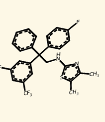 Cc1nc(NCC(c2ccccc2)(c2ccc(F)cc2)c2cc(F)cc(C(F)(F)F)c2)sc1C